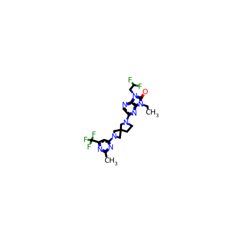 CCn1c(=O)n(CC(F)F)c2ncc(N3CCC4(CN(c5cc(C(F)(F)F)nc(C)n5)C4)C3)nc21